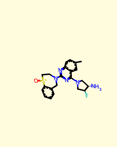 Cc1ccc2nc(N3CC[S+]([O-])c4ccccc4C3)nc(N3C[C@H](N)[C@@H](F)C3)c2c1